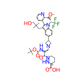 CO[C@@H](C)c1ncccc1-c1c(CC(C)(C)CO)c2cc(C3CN(C[C@H](NC(=O)OC(C)(C)C)C(=O)N4CCC[C@@H](C(=O)O)N4)C3)ccc2n1CC(F)(F)F